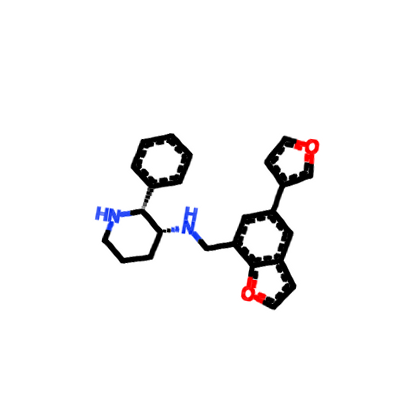 c1ccc([C@H]2NCCC[C@H]2NCc2cc(-c3ccoc3)cc3ccoc23)cc1